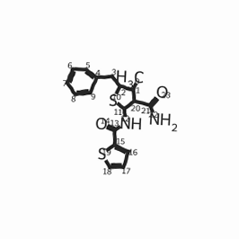 CC1C(Cc2ccccc2)SC(NC(=O)c2cccs2)C1C(N)=O